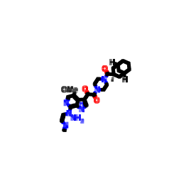 C=N/C=C\N(N)c1ncc(OC)c2c(C(=O)C(=O)N3CCN(C(=O)[C@@]4(C)C[C@@H]5CCC[C@@H](C5)C4)CC3)c[nH]c12